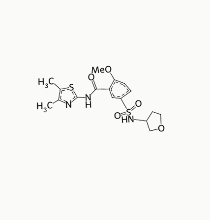 COc1ccc(S(=O)(=O)NC2CCOC2)cc1C(=O)Nc1nc(C)c(C)s1